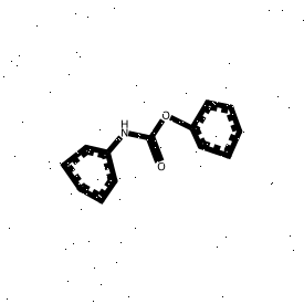 O=C(Nc1cc[c]cc1)Oc1ccccc1